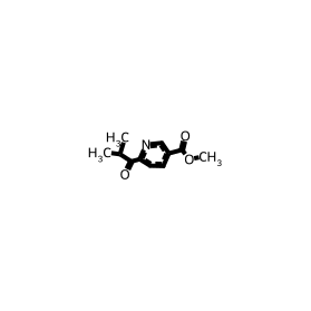 COC(=O)c1ccc(C(=O)C(C)C)nc1